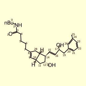 CCCCNC(=O)CCCCC1=C[C@H]2C[C@@H](O)[C@H](/C=C/[C@@H](O)Cc3cccc(C)c3)[C@H]2C1